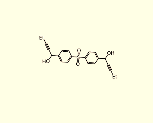 CCC#CC(O)c1ccc(S(=O)(=O)c2ccc(C(O)C#CCC)cc2)cc1